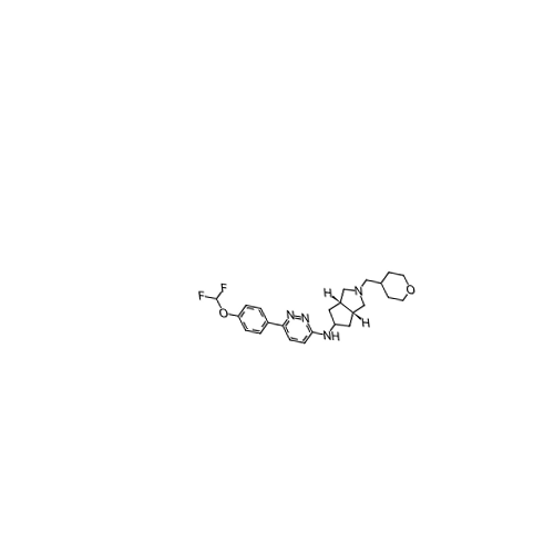 FC(F)Oc1ccc(-c2ccc(NC3C[C@@H]4CN(CC5CCOCC5)C[C@@H]4C3)nn2)cc1